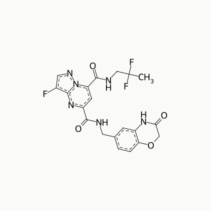 CC(F)(F)CNC(=O)c1cc(C(=O)NCc2ccc3c(c2)NC(=O)CO3)nc2c(F)cnn12